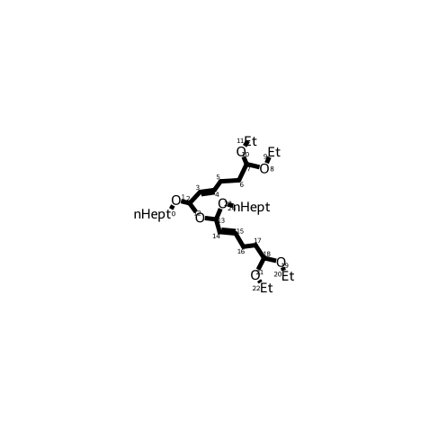 CCCCCCCOC(C=CCCC(OCC)OCC)OC(C=CCCC(OCC)OCC)OCCCCCCC